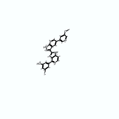 COc1cncc(-c2cnc3[nH]nc(-c4nc5c(-c6cc(O)cc(F)c6)nccc5[nH]4)c3c2)c1